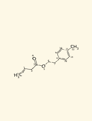 C=CCC(=O)OCCc1ccc(C)cc1